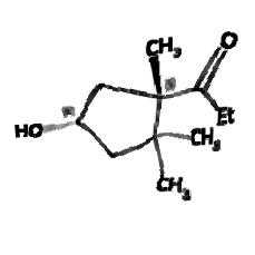 CCC(=O)[C@@]1(C)C[C@@H](O)CC1(C)C